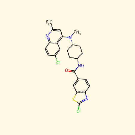 CN(c1cc(C(F)(F)F)nc2ccc(Cl)cc12)[C@H]1CC[C@@H](NC(=O)c2ccc3nc(Cl)sc3c2)CC1